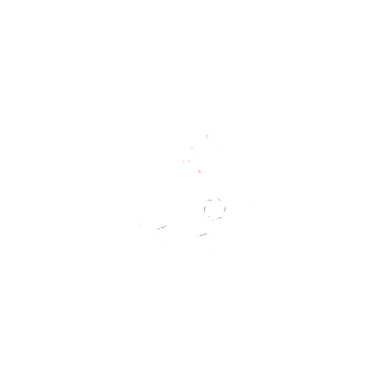 CC(C)=CCCC(C)=Cc1ccc(CCCC(P(=O)(O)O)P(=O)(O)O)c(C)c1